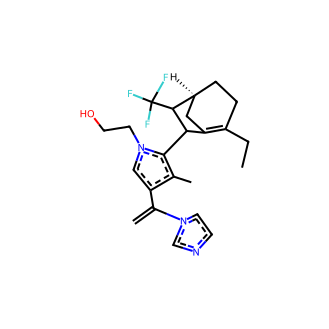 C=C(c1cn(CCO)c(C2C3=C(CC)CC[C@@H](C3)C2C(F)(F)F)c1C)n1ccnc1